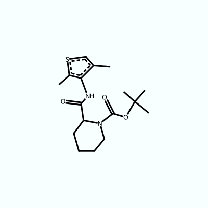 Cc1csc(C)c1NC(=O)C1CCCCN1C(=O)OC(C)(C)C